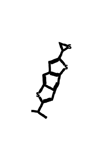 CC(C)c1cc2cc3sc(C4CS4)cc3cc2s1